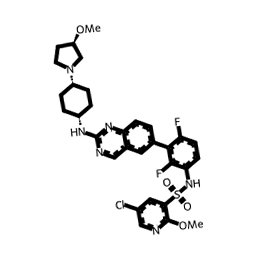 COc1ncc(Cl)cc1S(=O)(=O)Nc1ccc(F)c(-c2ccc3nc(N[C@H]4CC[C@@H](N5CC[C@@H](OC)C5)CC4)ncc3c2)c1F